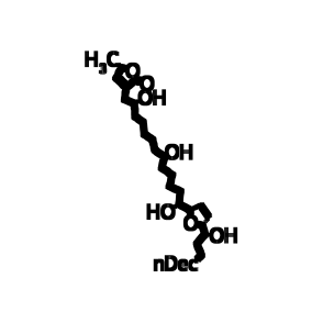 CCCCCCCCCCCC[C@@H](O)[C@H]1CC[C@H]([C@H](O)CCCC[C@H](O)CCCCC[C@@H](O)CC2=C[C@H](C)OC2=O)O1